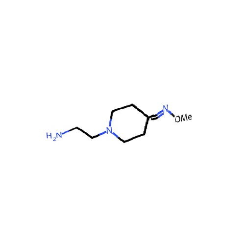 CON=C1CCN(CCN)CC1